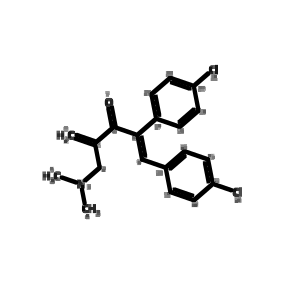 C=C(CN(C)C)C(=O)/C(=C/c1ccc(Cl)cc1)c1ccc(Cl)cc1